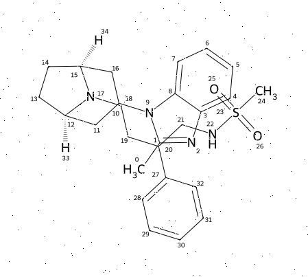 Cc1nc2ccccc2n1C1C[C@H]2CC[C@@H](C1)N2CCC(CNS(C)(=O)=O)c1ccccc1